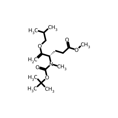 C=C(OCC(C)C)[C@H](CCC(=O)OC)N(C)C(=O)OC(C)(C)C